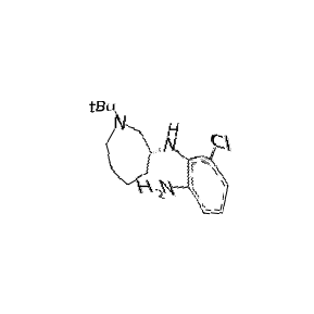 CC(C)(C)N1CCCC[C@@H](Nc2c(N)cccc2Cl)C1